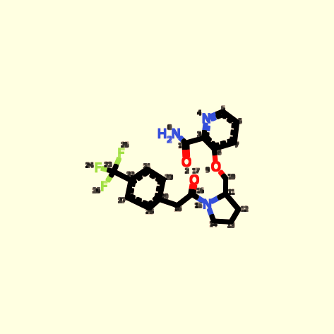 NC(=O)c1ncccc1OCC1CCCN1C(=O)Cc1ccc(C(F)(F)F)cc1